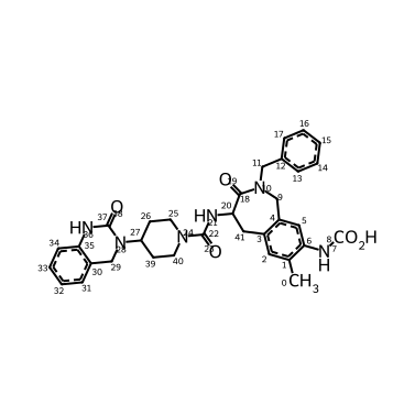 Cc1cc2c(cc1NC(=O)O)CN(Cc1ccccc1)C(=O)C(NC(=O)N1CCC(N3Cc4ccccc4NC3=O)CC1)C2